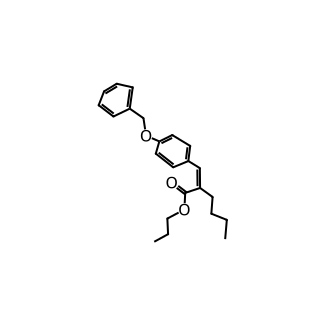 CCCCC(=Cc1ccc(OCc2ccccc2)cc1)C(=O)OCCC